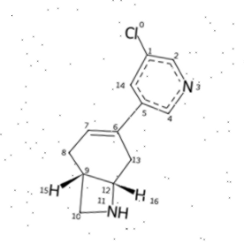 Clc1cncc(C2=CC[C@H]3CN[C@H]3C2)c1